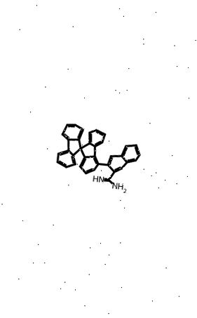 N=C(N)c1cc2ccccc2cc1-c1cccc2c1-c1ccccc1C21c2ccccc2-c2ccccc21